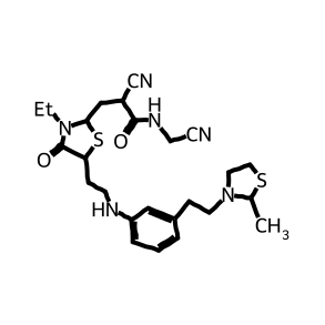 CCN1C(=O)C(CCNc2cccc(CCN3CCSC3C)c2)SC1CC(C#N)C(=O)NCC#N